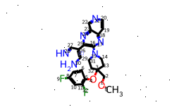 COCC1(Oc2ccc(F)cc2F)CCN(c2nc3ccncc3nc2/C(C=N)=C/N)CC1